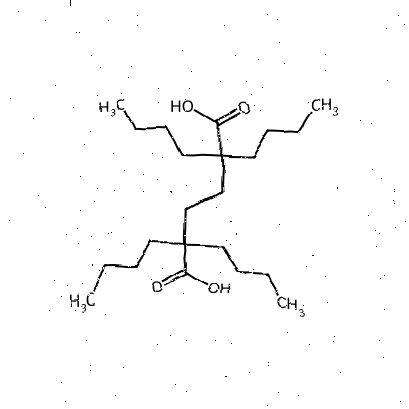 CCCCC(CCCC)(CCC(CCCC)(CCCC)C(=O)O)C(=O)O